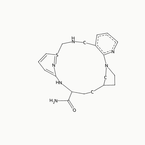 NC(=O)C1CCC2CCN(C2)c2ncccc2CNCS2=NC(=CC=C2)N1